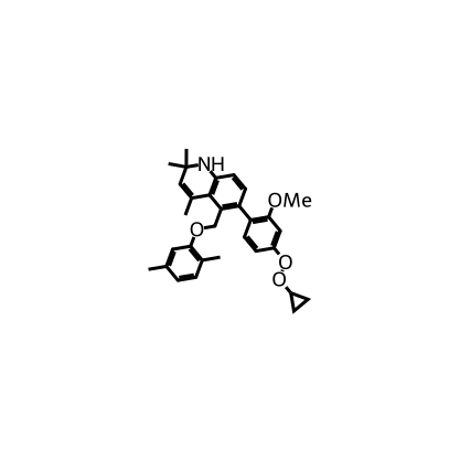 COc1cc(OOC2CC2)ccc1-c1ccc2c(c1COc1cc(C)ccc1C)C(C)=CC(C)(C)N2